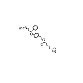 CNCCC(Oc1ccc(CCOC(=O)CCCC[C@@H]2CCSS2)cc1)c1ccccc1